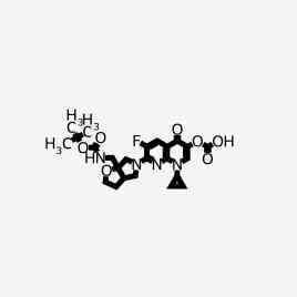 CC(C)(C)OC(=O)NCC12CN(c3nc4c(cc3F)c(=O)c(OC(=O)O)cn4C3CC3)CC1CCO2